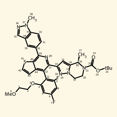 COCCOc1cc(F)cc(F)c1-c1c(-c2cc3n(n2)CCN(C(=O)OC(C)(C)C)[C@@H]3C)nc(-c2ccc3c(cnn3C)c2)c2sccc12